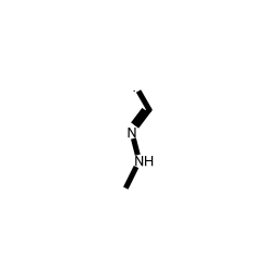 [CH2]C=NNC